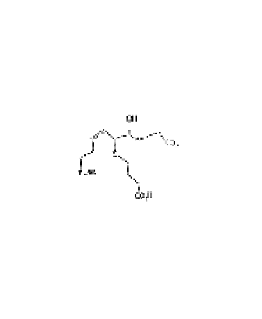 CCCCCCCCCCCC/C=C\C(SCCCC(=O)O)C(O)CCC(=O)O